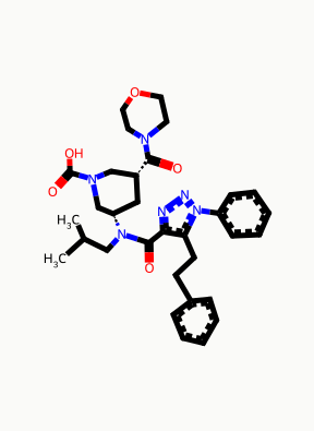 CC(C)CN(C(=O)c1nnn(-c2ccccc2)c1CCc1ccccc1)[C@H]1C[C@@H](C(=O)N2CCOCC2)CN(C(=O)O)C1